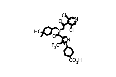 CC1(O)CCC(CN(CC(=O)c2c(Cl)cncc2Cl)C(=O)c2cnn(C3CCC(C(=O)O)CC3)c2C(F)(F)F)CC1